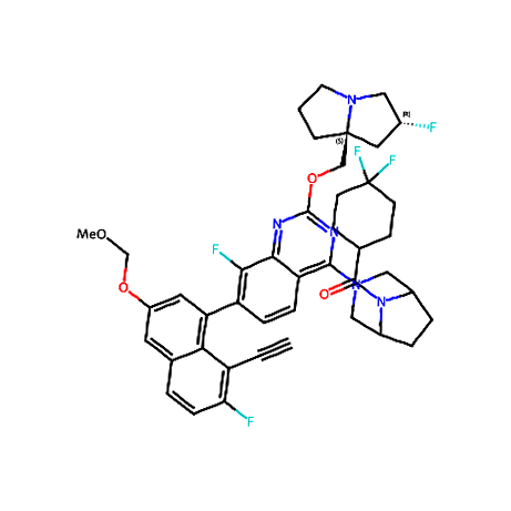 C#Cc1c(F)ccc2cc(OCOC)cc(-c3ccc4c(N5CC6CCC(C5)N6C(=O)C5CCC(F)(F)CC5)nc(OC[C@@]56CCCN5C[C@H](F)C6)nc4c3F)c12